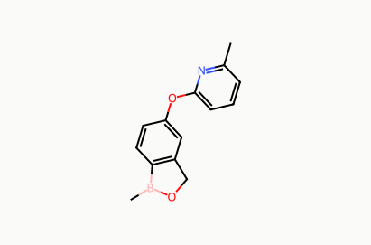 CB1OCc2cc(Oc3cccc(C)n3)ccc21